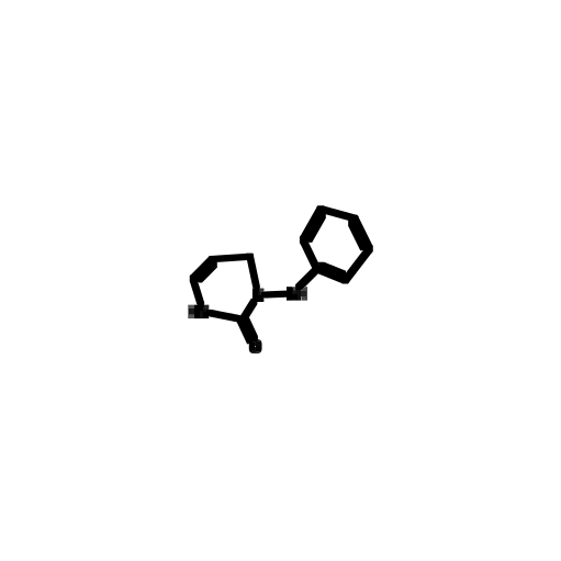 O=C1NC=CCN1Nc1ccccc1